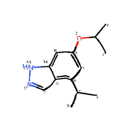 CC(C)Oc1cc(C(C)C)c2cn[nH]c2c1